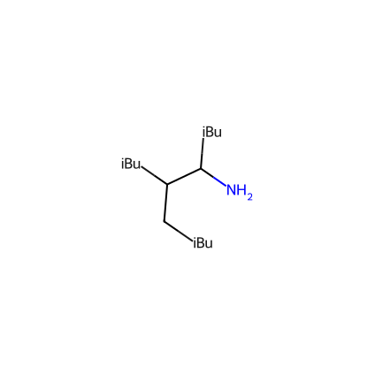 CCC(C)CC(C(C)CC)C(N)C(C)CC